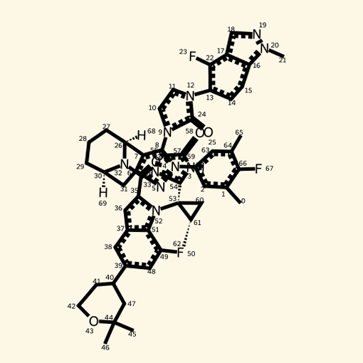 Cc1cc(-n2nc3c(c2-n2ccn(-c4ccc5c(cnn5C)c4F)c2=O)[C@@H]2CCC[C@H](C3)N2C(=O)c2cc3cc(C4CCOC(C)(C)C4)cc(F)c3n2[C@@]2(c3noc(=O)[nH]3)C[C@@H]2C)cc(C)c1F